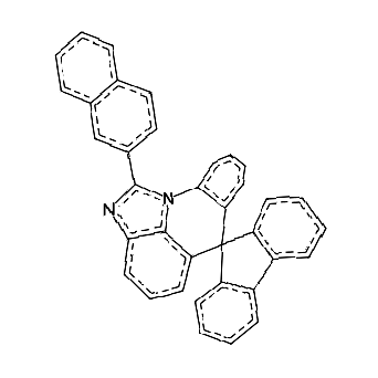 c1ccc2c(c1)-c1ccccc1C21c2ccccc2-n2c(-c3ccc4ccccc4c3)nc3cccc1c32